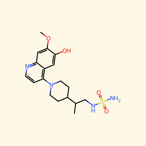 COc1cc2nccc(N3CCC(C(C)CNS(N)(=O)=O)CC3)c2cc1O